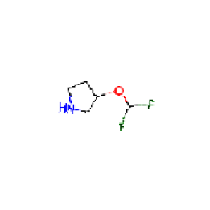 FC(F)OC1CCNC1